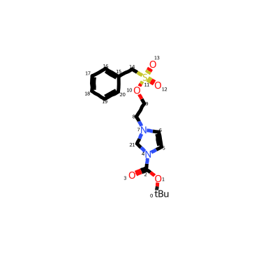 CC(C)(C)OC(=O)N1C=CN(CCOS(=O)(=O)Cc2ccccc2)C1